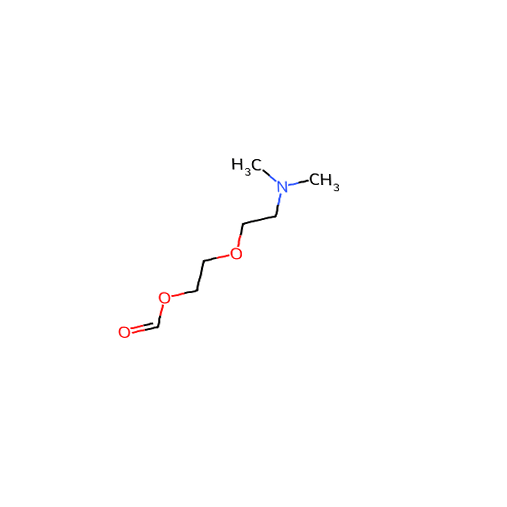 CN(C)CCOCCOC=O